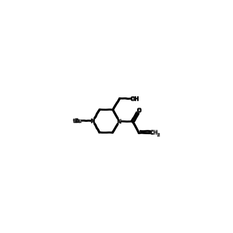 C=CC(=O)N1CCN(C(C)(C)C)CC1CO